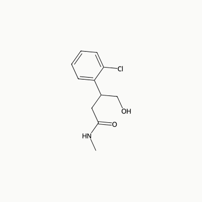 CNC(=O)CC(CO)c1ccccc1Cl